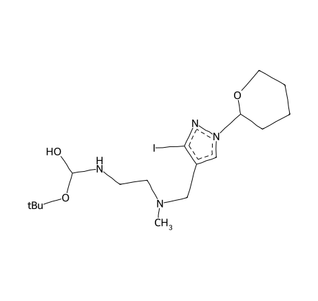 CN(CCNC(O)OC(C)(C)C)Cc1cn(C2CCCCO2)nc1I